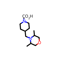 CC1COCC(C)N1CC1CCN(C(=O)O)CC1